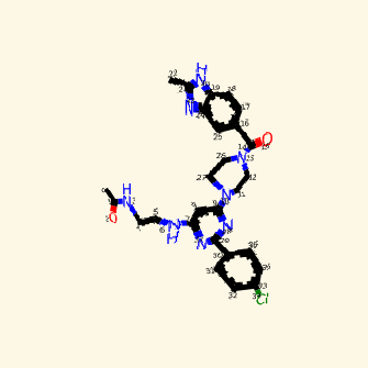 CC(=O)NCCNc1cc(N2CCN(C(=O)c3ccc4[nH]c(C)nc4c3)CC2)nc(-c2ccc(Cl)cc2)n1